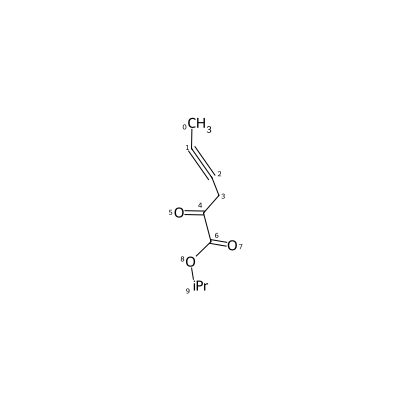 CC#CCC(=O)C(=O)OC(C)C